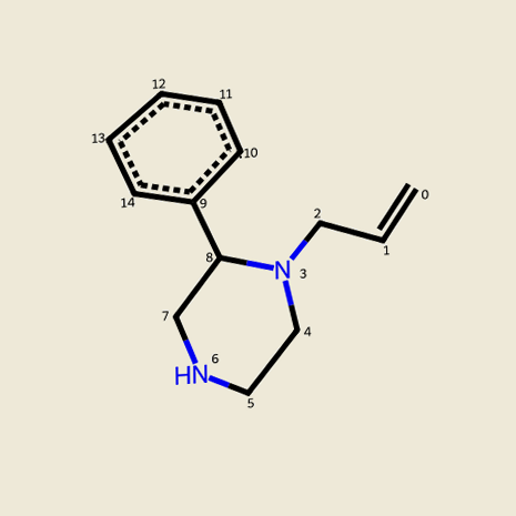 C=CCN1CCNCC1c1[c]cccc1